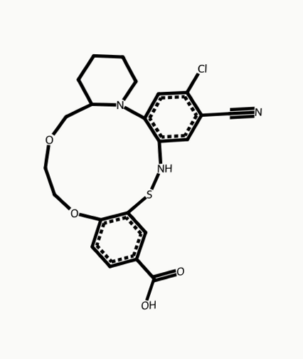 N#Cc1cc2c(cc1Cl)N1CCCCC1COCCOc1ccc(C(=O)O)cc1SN2